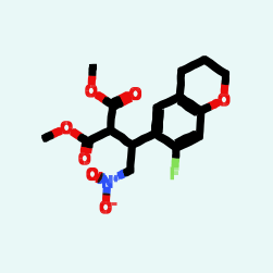 COC(=O)C(C(=O)OC)C(C[N+](=O)[O-])c1cc2c(cc1F)OCCC2